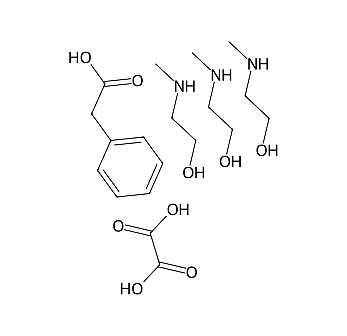 CNCCO.CNCCO.CNCCO.O=C(O)C(=O)O.O=C(O)Cc1ccccc1